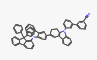 N#Cc1cccc(-c2cccc(-n3c4c(c5ccccc53)C=C(c3ccc5c(c3)c3ccccc3n5-c3cccc5c3C(c3ccccc3)(c3ccccc3)c3ccccc3-5)CC4)c2)c1